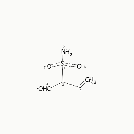 C=CC([C]=O)S(N)(=O)=O